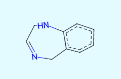 C1=NCc2ccccc2NC1